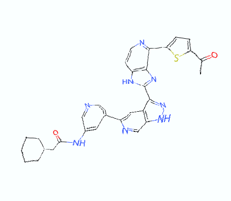 CC(=O)c1ccc(-c2nccc3[nH]c(-c4n[nH]c5cnc(-c6cncc(NC(=O)CC7CCCCC7)c6)cc45)nc23)s1